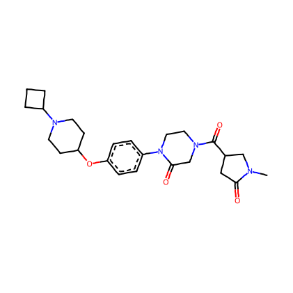 CN1CC(C(=O)N2CCN(c3ccc(OC4CCN(C5CCC5)CC4)cc3)C(=O)C2)CC1=O